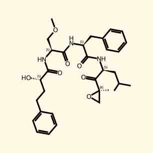 COC[C@H](NC(=O)[C@@H](O)CCc1ccccc1)C(=O)N[C@@H](Cc1ccccc1)C(=O)N[C@@H](CC(C)C)C(=O)[C@@]1(C)CO1